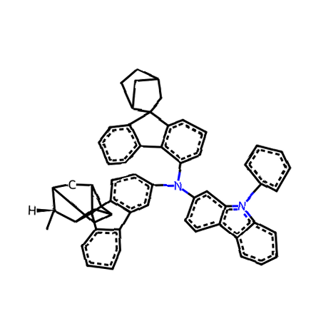 C[C@@H]1C2CC3CC(C2)C2(c4ccccc4-c4cc(N(c5ccc6c7ccccc7n(-c7ccccc7)c6c5)c5cccc6c5-c5ccccc5C65CC6CCC5C6)ccc42)C1C3